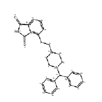 O=C1NC(=O)c2c(CCN3CCN(C(c4ccccc4)c4ccccc4)CC3)cccc21